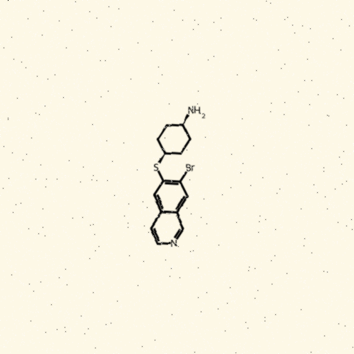 N[C@H]1CC[C@@H](Sc2cc3ccncc3cc2Br)CC1